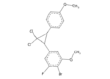 COc1ccc(C2C(c3cc(F)c(Br)c(OC)c3)C2(Cl)Cl)cc1